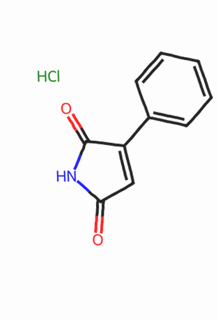 Cl.O=C1C=C(c2ccccc2)C(=O)N1